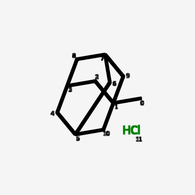 CC12CC3CC(CC(C3)C1)C2.Cl